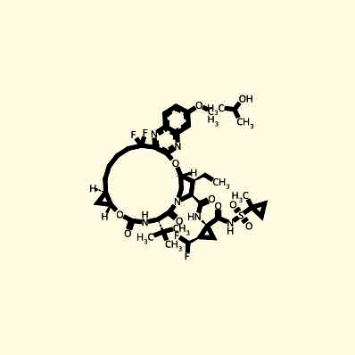 CC(C)O.CC[C@@H]1[C@@H]2CN(C(=O)[C@H](C(C)(C)C)NC(=O)O[C@@H]3C[C@H]3CCCCC(F)(F)c3nc4ccc(OC)cc4nc3O2)[C@@H]1C(=O)N[C@]1(C(=O)NS(=O)(=O)C2(C)CC2)C[C@H]1C(F)F